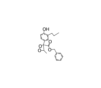 CCCc1cc(C2(C(=O)OCc3ccccc3)OOC2C)ccc1O